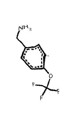 NCc1c[c]c(OC(F)(F)F)cc1